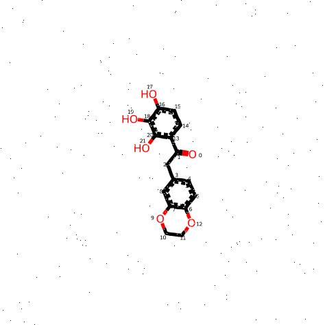 O=C(Cc1ccc2c(c1)OCCO2)c1ccc(O)c(O)c1O